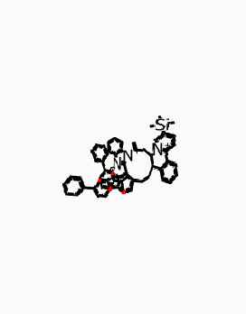 C=C1CC2C(CCc3ccc4c(sc5cc(-c6ccccc6)ccc54)c3-c3n(-c4c(-c5ccccc5)cccc4C(C)C)c4ccccc4[n+]31)c1ccccc1-c1ccc([Si](C)(C)C)c[n+]12